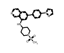 CS(=O)(=O)N1CCC(Nc2cc(-c3ccc(-n4cccn4)cc3)cc3ccncc23)CC1